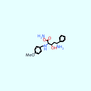 COc1ccc(CN[C@@H](C(=O)ON)[C@H](O)C[C@@H](N)c2ccccc2)cc1